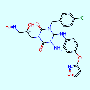 NN1C(=O)N(C[C@H](O)CN=O)C(=O)N(Cc2ccc(Cl)cc2)C1Nc1ccc(Oc2ccon2)cc1